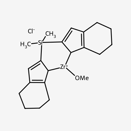 C[O][Zr+]1[CH]2C(=CC3=C2CCCC3)[Si](C)(C)C2=CC3=C(CCCC3)[CH]21.[Cl-]